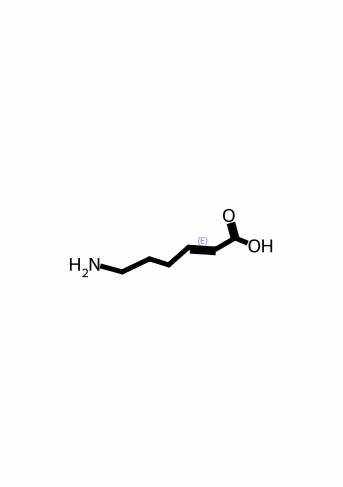 NCCC/C=C/C(=O)O